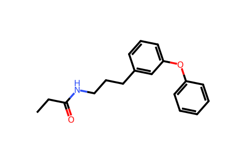 CCC(=O)NCCCc1cccc(Oc2ccccc2)c1